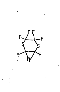 FC1(F)SC(F)(F)C(F)(F)SC1(F)F